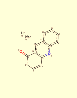 O=C1CC=Cc2nc3ccccc3cc21.[H-].[Na+]